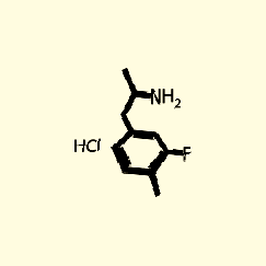 Cc1ccc(CC(C)N)cc1F.Cl